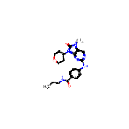 CCCNC(=O)c1ccc(Nc2ncc3c(n2)n(C2CCOCC2)c(=O)n3C)cc1